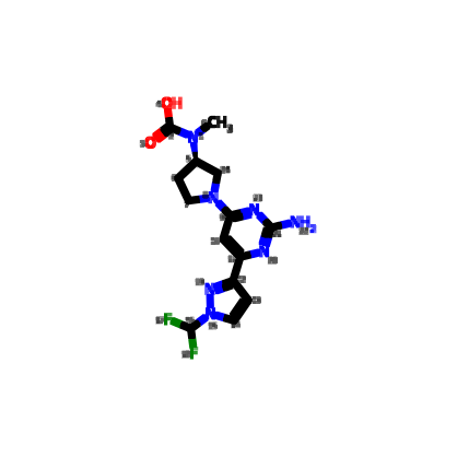 CN(C(=O)O)[C@@H]1CCN(c2cc(-c3ccn(C(F)F)n3)nc(N)n2)C1